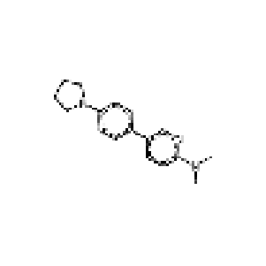 CN(C)c1ccc(-c2ccc(N3CCCC3)cc2)cn1